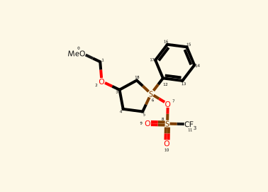 COCOC1CCS(OS(=O)(=O)C(F)(F)F)(c2ccccc2)C1